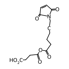 O=C(O)CCC(=O)OC(=O)CCCCCN1C(=O)C=CC1=O